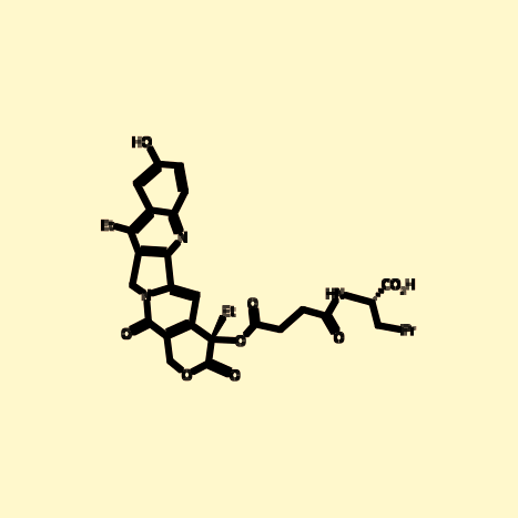 CCc1c2c(nc3ccc(O)cc13)-c1cc3c(c(=O)n1C2)COC(=O)[C@@]3(CC)OC(=O)CCC(=O)N[C@@H](CC(C)C)C(=O)O